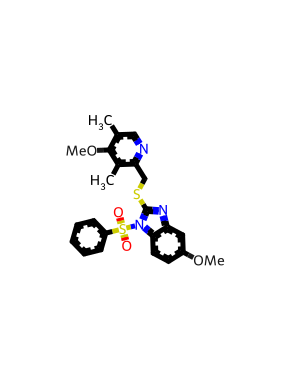 COc1ccc2c(c1)nc(SCc1ncc(C)c(OC)c1C)n2S(=O)(=O)c1ccccc1